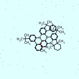 Cc1cc2c3c(c1)N1c4c(cc(C(C)(C)C)cc4C4(C)CCCCC14C)B3c1c(ccc3c1-c1ccccc1C3(C)C)N2c1ccc(C(C)(C)C)cc1-c1ccccc1